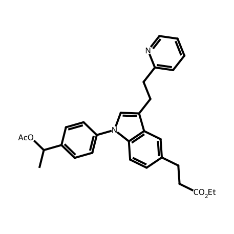 CCOC(=O)CCc1ccc2c(c1)c(CCc1ccccn1)cn2-c1ccc(C(C)OC(C)=O)cc1